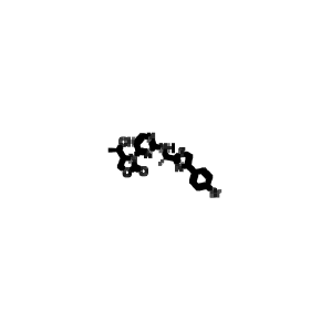 C[C@H](Nc1nccc(N2C(=O)OCC2[C@@H](C)O)n1)c1nc(-c2ccc(Br)cc2)cs1